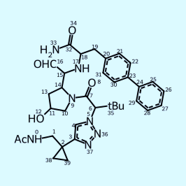 CC(=O)NCC1(c2cn(C(C(=O)N3CC(O)CC3C(C=O)NC(Cc3ccc(-c4ccccc4)cc3)C(N)=O)C(C)(C)C)nn2)CC1